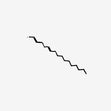 [CH2]/C=C/CC/C=C/CCCCCCCCCC